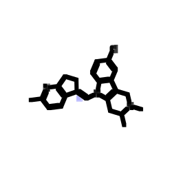 Cc1ccc2c(n1)CC/C2=C\n1c2c(c3cc(Cl)ccc31)CN(C)C(C)C2